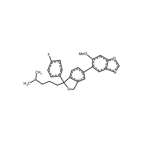 COc1cc2ocnc2cc1-c1ccc2c(c1)COC2(CCCN(C)C)c1ccc(F)cc1